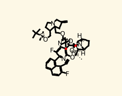 C#Cc1c(F)ccc2cccc(-c3nc4c5c(nc(OCC67CC(=C)CN6CCC7CO[Si](C)(C)C(C)(C)C)nc5c3F)N3C[C@H]5CC[C@@H]([C@H]3[C@H](C)O4)N5C(=O)OC(C)(C)C)c12